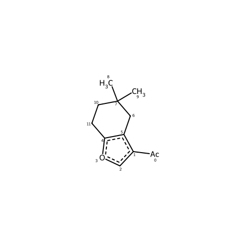 CC(=O)c1coc2c1CC(C)(C)CC2